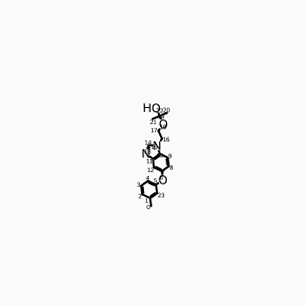 Cc1cccc(Oc2ccc3c(c2)ncn3CCOC(C)(C)O)c1